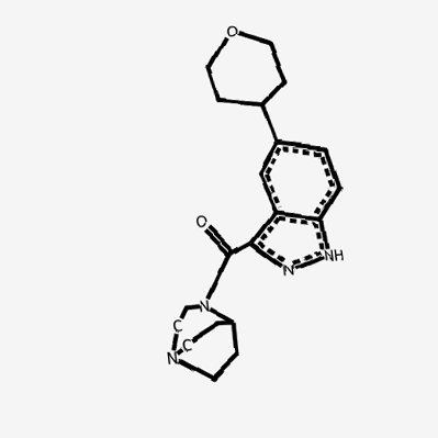 O=C(c1n[nH]c2ccc(C3CCOCC3)cc12)N1CCN2CCC1CC2